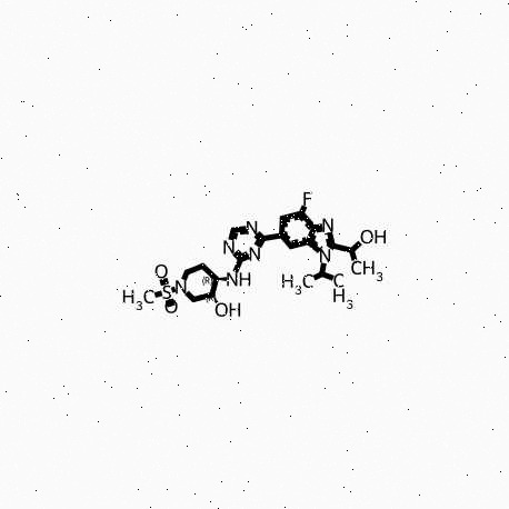 CC(O)c1nc2c(F)cc(-c3ncnc(N[C@@H]4CCN(S(C)(=O)=O)C[C@H]4O)n3)cc2n1C(C)C